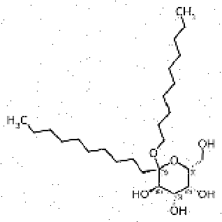 CCCCCCCCCCO[C@]1(CCCCCCCCCC)O[C@H](CO)[C@H](O)[C@H](O)[C@H]1O